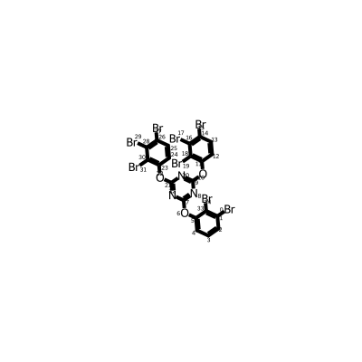 Brc1cccc(Oc2nc(Oc3ccc(Br)c(Br)c3Br)nc(Oc3ccc(Br)c(Br)c3Br)n2)c1Br